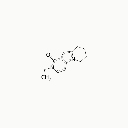 CCn1ccc2c(cc3n2CCCC3)c1=O